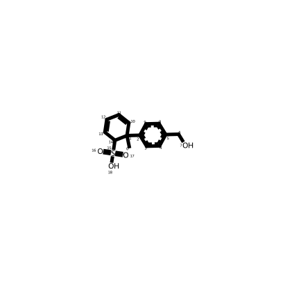 CC1(c2ccc(CO)cc2)C=CC=CC1S(=O)(=O)O